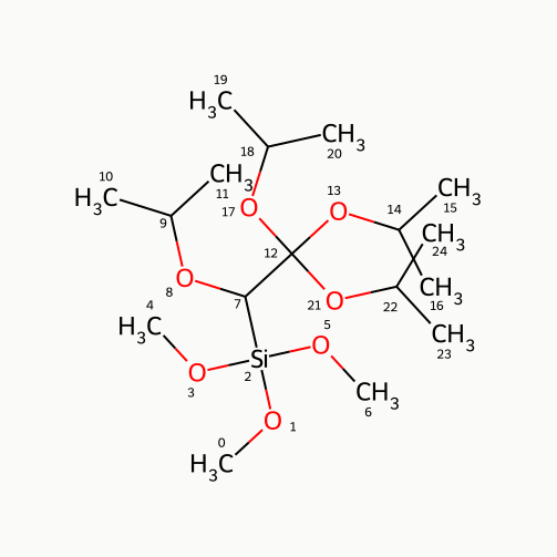 CO[Si](OC)(OC)C(OC(C)C)C(OC(C)C)(OC(C)C)OC(C)C